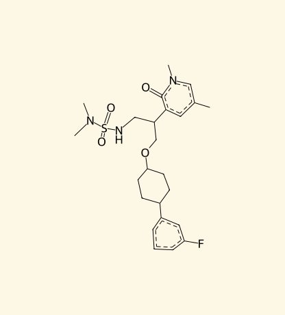 Cc1cc(C(CNS(=O)(=O)N(C)C)COC2CCC(c3cccc(F)c3)CC2)c(=O)n(C)c1